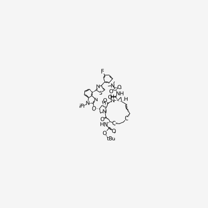 CC(C)n1c(O[C@@H]2C[C@H]3C(=O)N[C@]4(C(=O)NS(=O)(=O)N(C)C)C[C@H]4/C=C\CCCCC[C@H](NC(=O)OC(C)(C)C)C(=O)N3C2)nc2c(-c3nc(-c4cccc(F)c4)cs3)cccc21